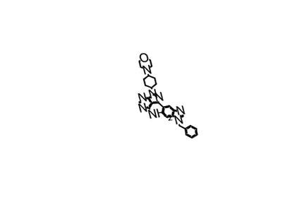 Nc1ncnc2c1c(-c1ccc3c(c1)ncn3Cc1ccccc1)nn2C1CCC(N2CCOCC2)CC1